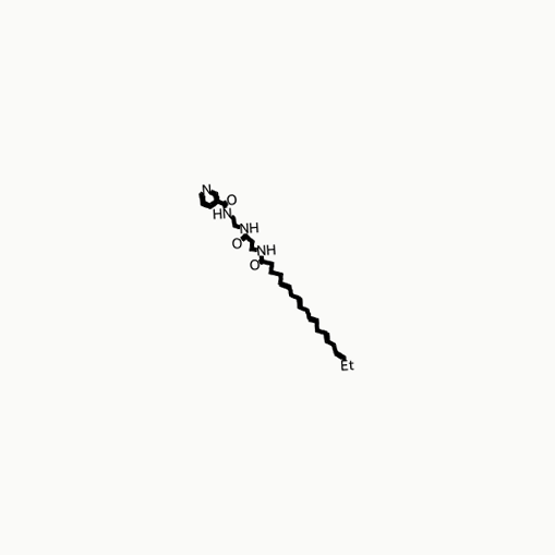 CCC=CCC=CCC=CCC=CCC=CCCCC(=O)NCCC(=O)NCCNC(=O)c1cccnc1